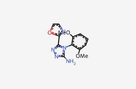 COc1cccc(OC)c1-n1c(N)nnc1-c1ncco1